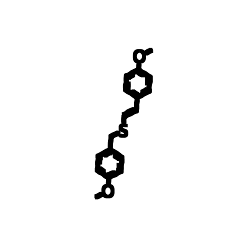 COc1ccc(C=CSCc2ccc(OC)cc2)cc1